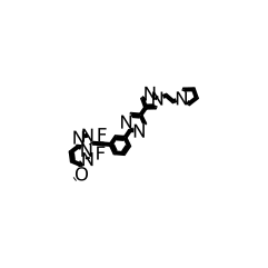 COc1ccc2nnc(C(F)(F)c3cccc(-c4ncc(-c5cnn(CCN6CCCC6)c5)cn4)c3)n2n1